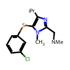 CNCc1nc(C(C)C)c(Sc2cccc(Cl)c2)n1C